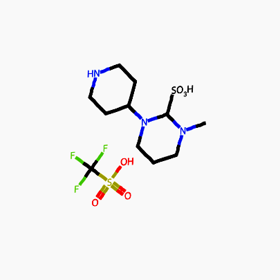 CN1CCCN(C2CCNCC2)C1S(=O)(=O)O.O=S(=O)(O)C(F)(F)F